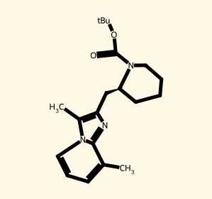 Cc1cccn2c(C)c(C[C@@H]3CCCCN3C(=O)OC(C)(C)C)nc12